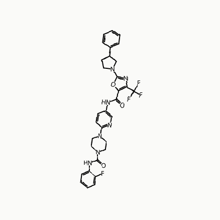 O=C(Nc1ccc(N2CCN(C(=O)Nc3ccccc3F)CC2)nc1)c1oc(N2CCC(c3ccccc3)C2)nc1C(F)(F)F